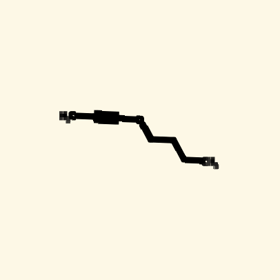 CC#COCCCC